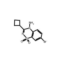 NN1C(C2CCC2)=NS(=O)(=O)c2cc(Br)ccc21